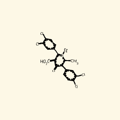 CCn1c(C)c(-c2ccc(Cl)c(Cl)c2)c(=O)c(C(=O)O)c1-c1ccc(Cl)c(Cl)c1